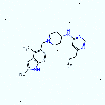 Cc1c(CN2CCC(Nc3cc(CCC(F)(F)F)ncn3)CC2)ccc2[nH]c(C#N)cc12